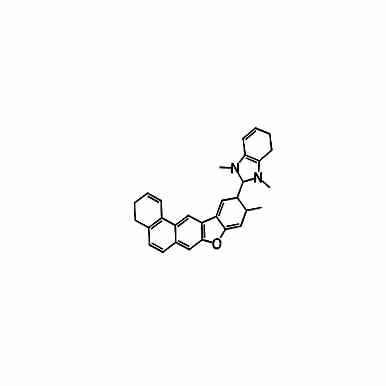 CC1C=c2oc3cc4ccc5c(c4cc3c2=CC1C1N(C)C2=C(CCC=C2)N1C)C=CCC5